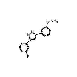 COc1cccc(-c2cn(-c3cccc(F)c3)nn2)c1